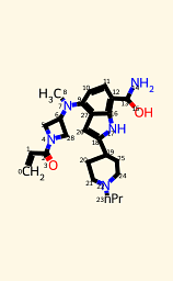 C=CC(=O)N1CC(N(C)c2ccc(C(N)O)c3[nH]c(C4CCN(CCC)CC4)cc23)C1